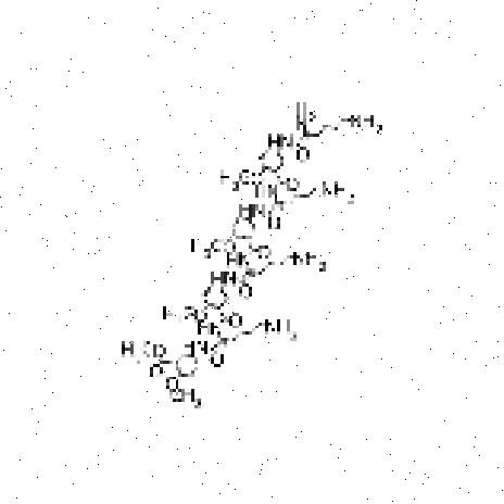 COC(=O)c1cc(NC(=O)[C@H](CCCCN)NC(=O)c2cc(NC(=O)[C@H](CCCCN)NC(=O)c3cc(NC(=O)[C@H](CCCCN)NC(=O)c4cc(NC(=O)[C@@H](N)CCCCN)ccc4OC)ccc3OC)ccc2OC)ccc1OC